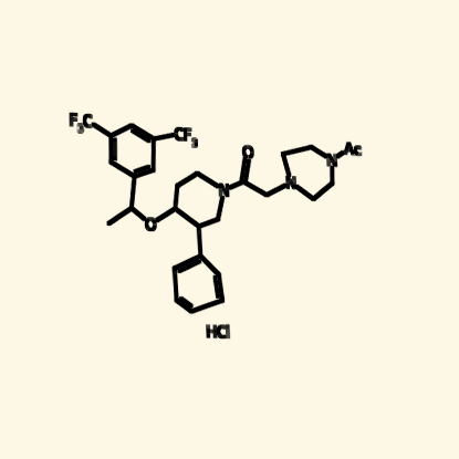 CC(=O)N1CCN(CC(=O)N2CCC(OC(C)c3cc(C(F)(F)F)cc(C(F)(F)F)c3)C(c3ccccc3)C2)CC1.Cl